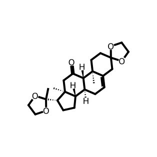 CC1([C@H]2CC[C@H]3[C@@H]4CC=C5CC6(CC[C@]5(C)[C@H]4C(=O)C[C@]23C)OCCO6)OCCO1